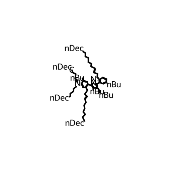 CCCCC=CC1=C(c2cc(CCCC)ccc2CCC=CCCCCCCCCCCCCCCCCC)[N+](=[N-])C(c2cc(CCCC)ccc2CCC=CCCCCCCCCCCCCCCCCC)=C1CCCC.CCCCCCCCCCCCCC[CH2][Ni][CH2]CCCCCCCCCCCCCC